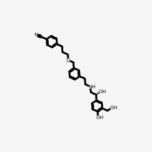 N#Cc1ccc(CCCOCc2cccc(CCNC[C@@H](O)c3ccc(O)c(CO)c3)c2)cc1